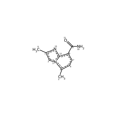 Cc1cn2c(C)ccc(C(N)=O)c2n1